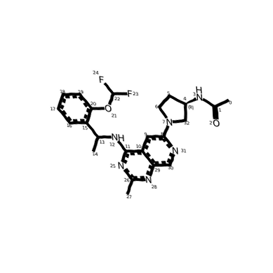 CC(=O)N[C@@H]1CCN(c2cc3c(NC(C)c4ccccc4OC(F)F)nc(C)nc3cn2)C1